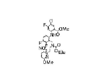 COC(=O)c1cc(Cl)c(F)cc1Nc1ccc(F)c(F)c1CN(CCc1nc(OC)ccc1[N+](=O)[O-])C(=O)OC(C)(C)C